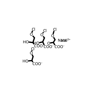 O=C([O-])C(O)COCl.O=C([O-])C(O)COCl.O=C([O-])C(O)COCl.O=C([O-])C([O-])COCl.[Al+3].[Na+].[Na+]